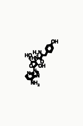 Nc1ccnc2c1ncn2[C@@H]1O[C@H](CO)C(NC(=O)C(N)Cc2ccc(O)cc2)[C@@H]1O